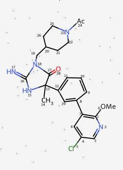 COc1ncc(Cl)cc1-c1cccc(C2(C)NC(=N)N(CC3CCN(C(C)=O)CC3)C2=O)c1